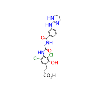 O=C(O)CCc1cc(Cl)c(NC(=O)CNC(=O)c2cccc(NC3=NCCCN3)c2)c(Cl)c1O